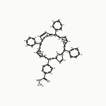 CNC(=O)c1ccc(-c2c3nc(c(-c4ccccc4)c4ccc([nH]4)c(-c4ccccc4)c4nc(c(-c5ccccc5)c5ccc2[nH]5)C=C4)C=C3)cc1